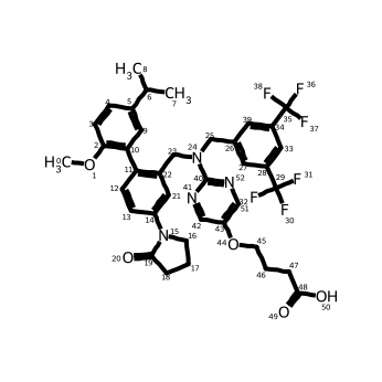 COc1ccc(C(C)C)cc1-c1ccc(N2CCCC2=O)cc1CN(Cc1cc(C(F)(F)F)cc(C(F)(F)F)c1)c1ncc(OCCCC(=O)O)cn1